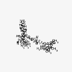 CC(=O)NC1C(OCCCCC(=O)NCCOCCOCO[C@@H]2[C@H](OP(OCCC#N)N(C(C)C)C(C)C)[C@@H](CO)O[C@H]2n2cnc3c(NC(=O)c4ccccc4)ncnc32)OC(COC(C)=O)C(OC(C)=O)C1OC(C)=O